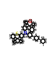 c1ccc(-c2ccc(-c3ccc(N(c4ccc5c(c4)Sc4ccccc4C54c5ccccc5-c5ccccc54)c4cccc5c4-c4ccccc4C54c5ccccc5Oc5ccccc54)cc3)cc2)cc1